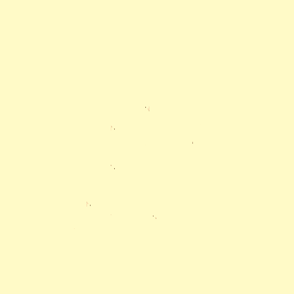 C[S+]([O-])c1nc2c(c(N3CCN(C(=O)O)[C@@H](CC#N)C3)n1)CCC1(CCCc3ccccc31)O2